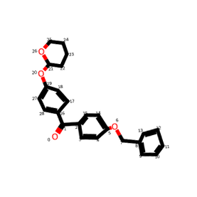 O=C(c1ccc(OCc2ccccc2)cc1)c1ccc(OC2CCCCO2)cc1